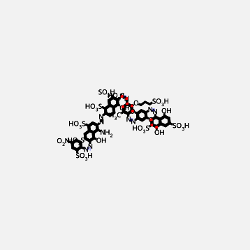 Cc1cc(/N=N\c2c(S(=O)(=O)O)cc3c(S(=O)(=O)O)c(N=Nc4cc(S(=O)(=O)O)c5cc(S(=O)(=O)O)c(/N=N\c6ccc([N+](=O)[O-])cc6S(=O)(=O)O)c(O)c5c4N)ccc3c2O)c(OCCCS(=O)(=O)O)cc1/N=N\c1cc(OCCO)c(/N=N\c2cc(S(=O)(=O)O)cc3cc(S(=O)(=O)O)cc(O)c23)cc1OCCCS(=O)(=O)O